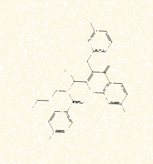 Cc1ccc(C(=O)N(CCCN)C(c2oc3cc(Cl)ccc3c(=O)c2Cc2cccc(C#N)c2)C(C)C)cc1